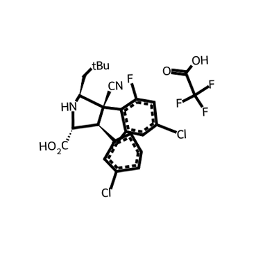 CC(C)(C)C[C@@H]1N[C@@H](C(=O)O)[C@H](c2cccc(Cl)c2)[C@@]1(C#N)c1c(F)cc(Cl)cc1F.O=C(O)C(F)(F)F